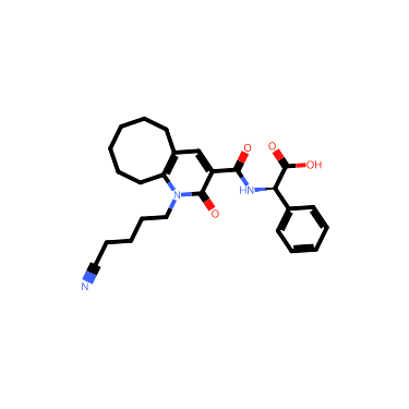 N#CCCCCn1c2c(cc(C(=O)N[C@@H](C(=O)O)c3ccccc3)c1=O)CCCCCC2